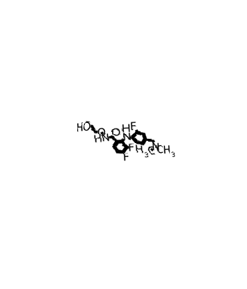 CN(C)Cc1ccc(Nc2c(C(=O)NOCCO)ccc(F)c2F)c(F)c1